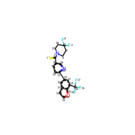 FC1(F)CCN(C(=S)c2ccc(-c3cc(C(F)(F)F)c4occc4c3)nc2)CC1